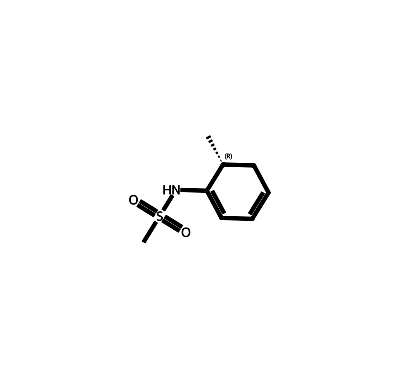 C[C@@H]1CC=CC=C1NS(C)(=O)=O